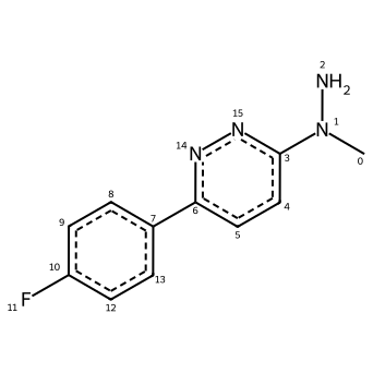 CN(N)c1ccc(-c2ccc(F)cc2)nn1